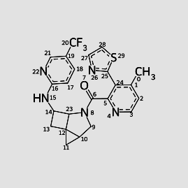 Cc1ccnc(C(=O)N2CC3CC34CC(Nc3ccc(C(F)(F)F)cn3)C24)c1-c1nccs1